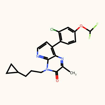 Cc1nc2c(-c3ccc(OC(F)F)cc3Cl)ccnc2n(CCCC2CC2)c1=O